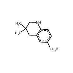 CC1(C)CNc2ccc(C(=O)O)cc2C1